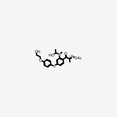 CC(=O)O/N=C(\C)C(=O)c1ccc(Sc2ccc(OCCO)cc2)cc1N(C)C(C)O